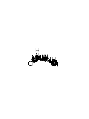 Fc1ccc(CNc2cc(Cc3c[nH]c4ncc(Cl)cc34)[nH]n2)cc1